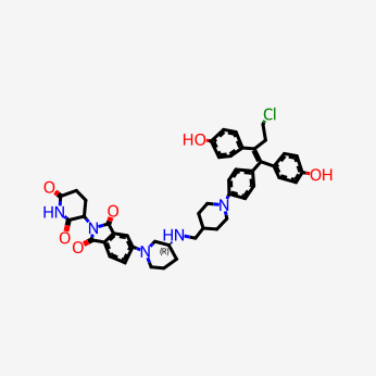 O=C1CCC(N2C(=O)c3ccc(N4CCC[C@@H](NCC5CCN(c6ccc(C(=C(CCCl)c7ccc(O)cc7)c7ccc(O)cc7)cc6)CC5)C4)cc3C2=O)C(=O)N1